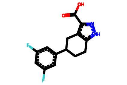 O=C(O)c1n[nH]c2c1CC(c1cc(F)cc(F)c1)CC2